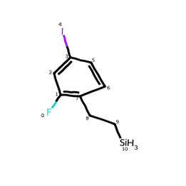 Fc1cc(I)ccc1CC[SiH3]